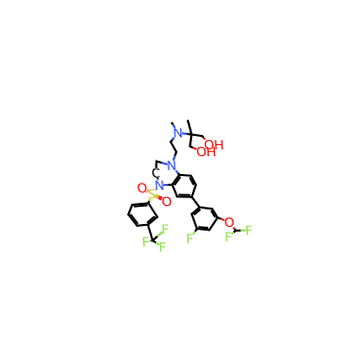 CN(CCN1CCN(S(=O)(=O)c2cccc(C(F)(F)F)c2)c2cc(-c3cc(F)cc(OC(F)F)c3)ccc21)C(C)(CO)CO